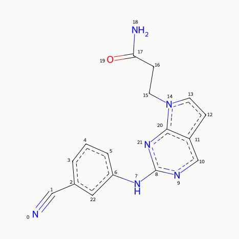 N#Cc1cccc(Nc2ncc3ccn(CCC(N)=O)c3n2)c1